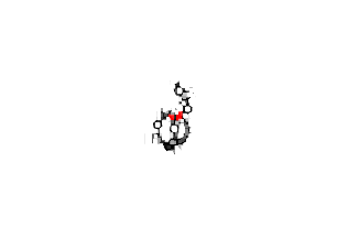 C[C@H]1Nc2ncnc3c2cc(N2CCN(C(=O)CNc4cccc5c4CN(C4CCC(=O)NC4=O)C5=O)CC2)c(=O)n3CCCCCCN2CC(CCC(F)(F)c3cccc1c3)C2